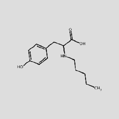 CCCCCNC(Cc1ccc(O)cc1)C(=O)O